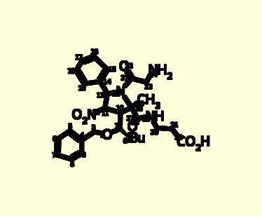 CC[C@H](C)C(OCc1ccccc1)C1C([N+](=O)[O-])C(c2ccccc2)N(C(=O)CN)C1(C)C(=O)NCCC(=O)O